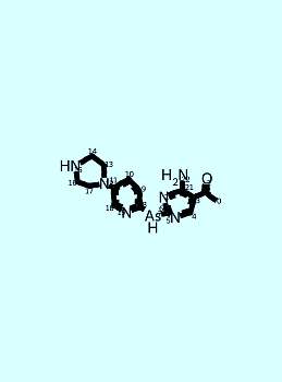 CC(=O)c1cnc([AsH]c2ccc(N3CCNCC3)cn2)nc1N